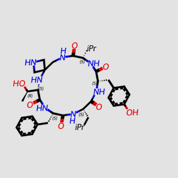 CC(C)C[C@@H]1NC(=O)[C@H](Cc2ccccc2)NC(=O)[C@H]([C@@H](C)O)NC2(CNC2)CNC(=O)[C@H](C(C)C)NC(=O)[C@H](Cc2ccc(O)cc2)NC1=O